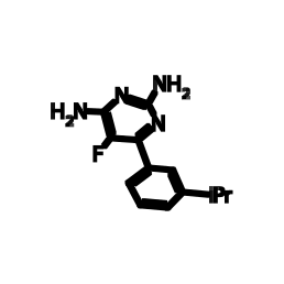 CC(C)c1cccc(-c2nc(N)nc(N)c2F)c1